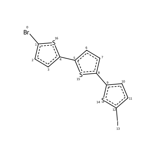 Brc1ccc(-c2ccc(-c3ccc(I)s3)s2)s1